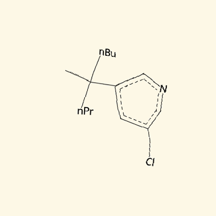 CCCCC(C)(CCC)c1cncc(Cl)c1